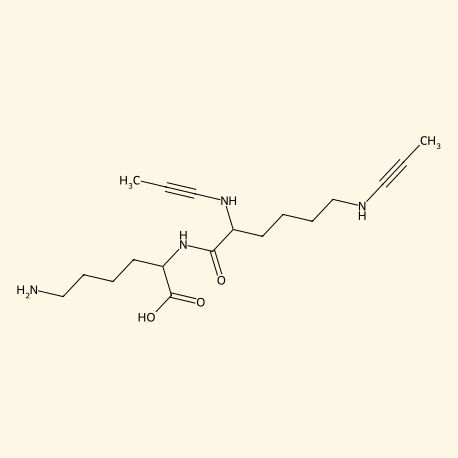 CC#CNCCCCC(NC#CC)C(=O)NC(CCCCN)C(=O)O